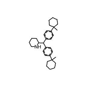 CC1(c2ccc(C(c3ccc(C4(C)CCCCC4)cc3)C3CCCCN3)cc2)CCCCC1